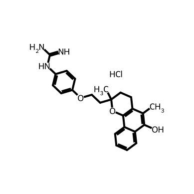 Cc1c2c(c3ccccc3c1O)OC(C)(CCOc1ccc(NC(=N)N)cc1)CC2.Cl